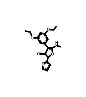 CCOc1cc(OCC)cc(C2=C(NC)OC(c3cccs3)C2=O)c1